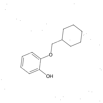 Oc1ccccc1OCC1CCCCC1